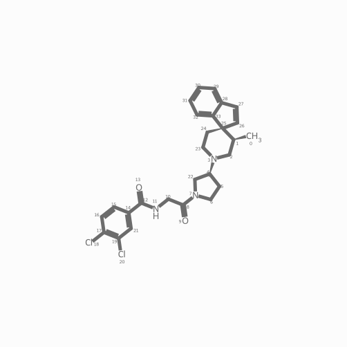 C[C@H]1CN([C@H]2CCN(C(=O)CNC(=O)c3ccc(Cl)c(Cl)c3)C2)CC[C@@]12C=Cc1ccccc12